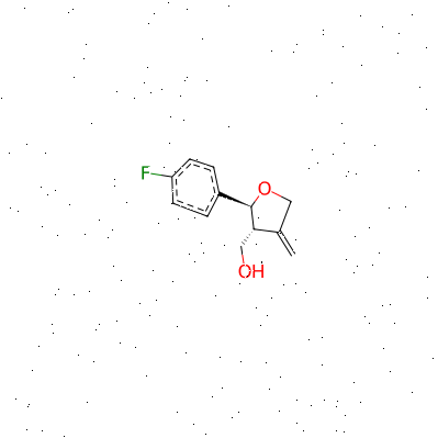 C=C1CO[C@H](c2ccc(F)cc2)[C@H]1CO